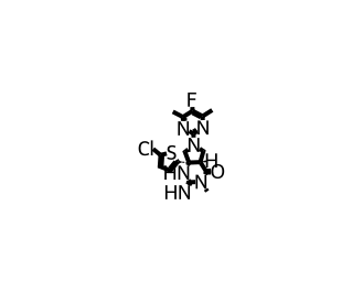 Cc1nc(N2C[C@H]3C(=O)N(C)C(=N)N[C@@]3(c3ccc(Cl)s3)C2)nc(C)c1F